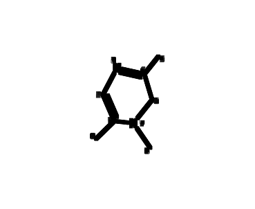 CC1=CN=C(C)CN1C